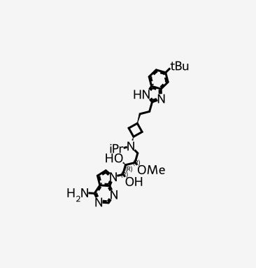 CO[C@H](CN(C(C)C)[C@H]1C[C@H](CCc2nc3cc(C(C)(C)C)ccc3[nH]2)C1)[C@@H](O)[C@@H](O)n1ccc2c(N)ncnc21